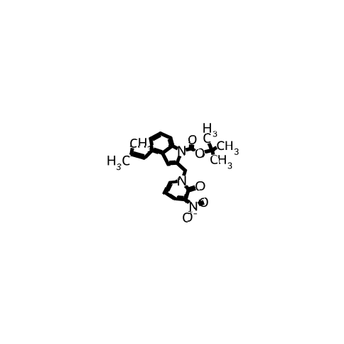 CC(C)=Cc1cccc2c1cc(Cn1cccc([N+](=O)[O-])c1=O)n2C(=O)OC(C)(C)C